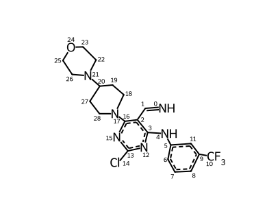 N=Cc1c(Nc2cccc(C(F)(F)F)c2)nc(Cl)nc1N1CCC(N2CCOCC2)CC1